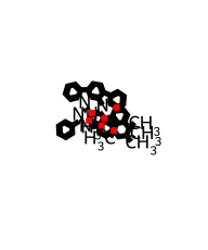 CC1CC(C)(C)c2c(-c3ccccc3-n3c4ccccc4c4ccc5c6ccccc6n(-c6nc(-c7ccccc7)nc(-c7ccccc7)n6)c5c43)cccc2C1(C)C